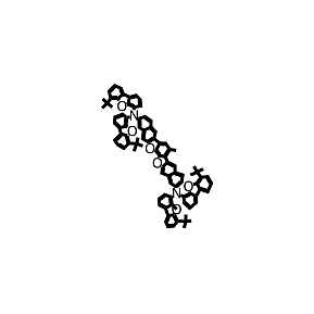 Cc1cc2c3cc4ccc(N(c5cccc6c5oc5c(C(C)(C)C)cccc56)c5cccc6c5oc5c(C(C)(C)C)cccc56)cc4cc3oc2c2oc3cc4cc(N(c5cccc6c5oc5c(C(C)(C)C)cccc56)c5cccc6c5oc5c(C(C)(C)C)cccc56)ccc4cc3c12